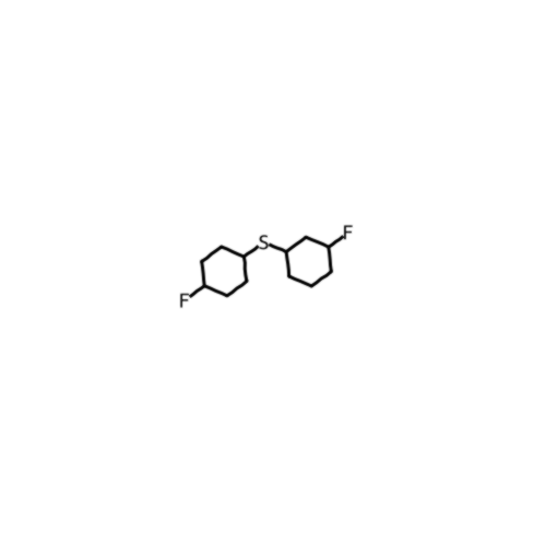 FC1CCC(SC2CCCC(F)C2)CC1